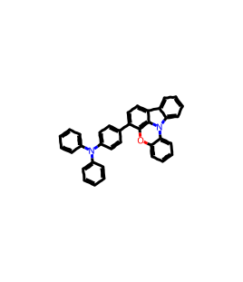 c1ccc(N(c2ccccc2)c2ccc(-c3ccc4c5ccccc5n5c4c3Oc3ccccc3-5)cc2)cc1